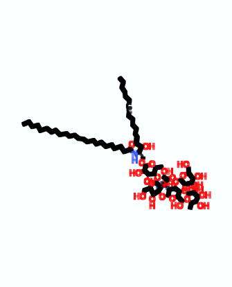 CCCCCCCCCCCCC/C=C/[C@@H](O)[C@H](CO[C@@H]1OC(CO)[C@@H](O[C@@H]2OC(CO)[C@H](O)[C@H](O[C@@H]3OC(CO)[C@@H](O[C@H]4OC(C)[C@@H](O)C(O)[C@@H]4O)[C@H](O[C@@H]4OC(CO)[C@H](O)[C@H](O)C4O)C3NC(C)=O)C2O)[C@H](O)C1O)NC(=O)CCCCCCCCCCCCCCCCCCCCCCC